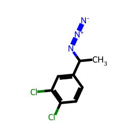 CC(N=[N+]=[N-])c1ccc(Cl)c(Cl)c1